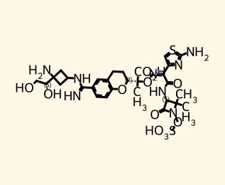 CC(O/N=C(\C(=O)N[C@@H]1C(=O)N(OS(=O)(=O)O)C1(C)C)c1csc(N)n1)(C(=O)O)[C@H]1CCc2cc(C(=N)NC3CC(N)([C@H](O)CO)C3)ccc2O1